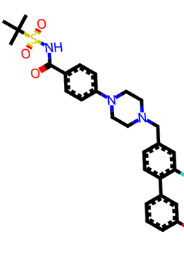 CC(C)(C)S(=O)(=O)NC(=O)c1ccc(N2CCN(Cc3ccc(-c4cccc(O)c4)c(F)c3)CC2)cc1